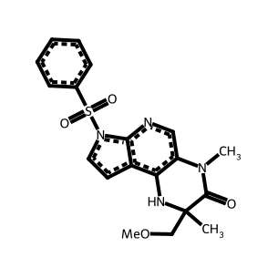 COCC1(C)Nc2c(cnc3c2ccn3S(=O)(=O)c2ccccc2)N(C)C1=O